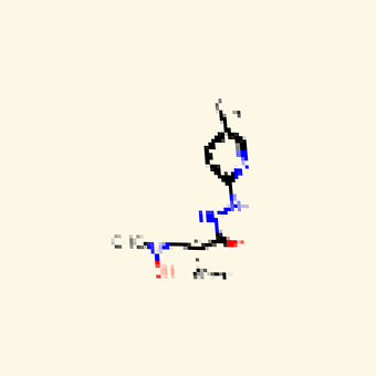 CCCCC[C@H](CN(O)C=O)C(=O)NNc1ccc(C)cn1